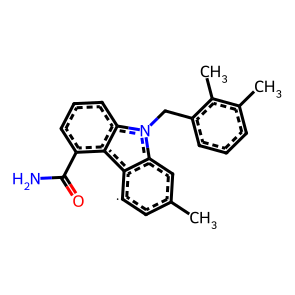 Cc1c[c]c2c3c(C(N)=O)cccc3n(Cc3cccc(C)c3C)c2c1